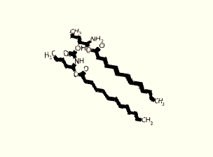 CCCCCCCCCCCCC(=O)OC(CCCC)NC(=O)O.CCCCCCCCCCCCC(=O)OC(N)CCCC